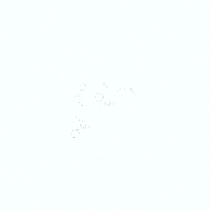 CC(CCN(C)C(=O)[C@@H](Cc1cc(Cl)c(N)c(C(F)(F)F)c1)OC(=O)N1CCC(N2CCc3ccccc3NC2=O)CC1)C1CCN(CCC(=O)OCC(=O)N(C)C)CC1